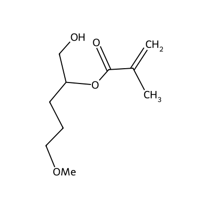 C=C(C)C(=O)OC(CO)CCCOC